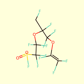 O=S(=O)(F)C(F)(F)C(F)(F)OC(F)(CF)C(F)(F)OC(F)=C(F)F